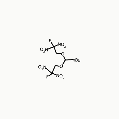 CCCCC(OCC(F)([N+](=O)[O-])[N+](=O)[O-])OCC(F)([N+](=O)[O-])[N+](=O)[O-]